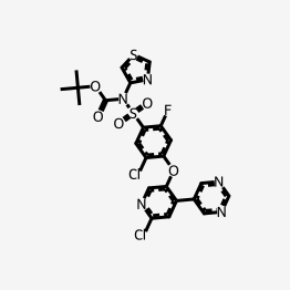 CC(C)(C)OC(=O)N(c1cscn1)S(=O)(=O)c1cc(Cl)c(Oc2cnc(Cl)cc2-c2cncnc2)cc1F